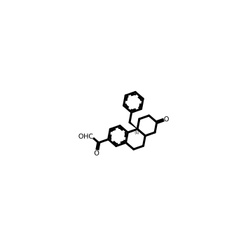 O=CC(=O)c1ccc2c(c1)CCC1CC(=O)CC[C@@]21Cc1ccccc1